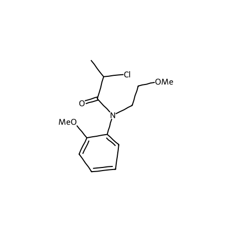 COCCN(C(=O)C(C)Cl)c1ccccc1OC